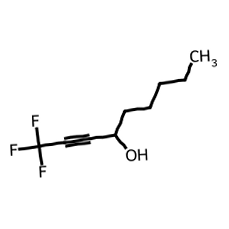 CCCCCC(O)C#CC(F)(F)F